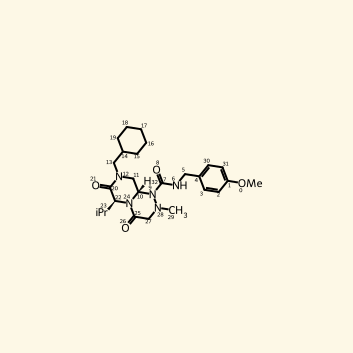 COc1ccc(CNC(=O)N2[C@H]3CN(CC4CCCCC4)C(=O)[C@H](C(C)C)N3C(=O)CN2C)cc1